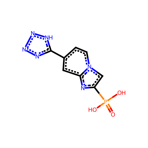 O=P(O)(O)c1cn2ccc(-c3nnn[nH]3)cc2n1